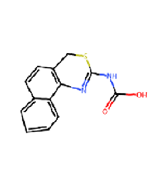 O=C(O)NC1=Nc2c(ccc3ccccc23)CS1